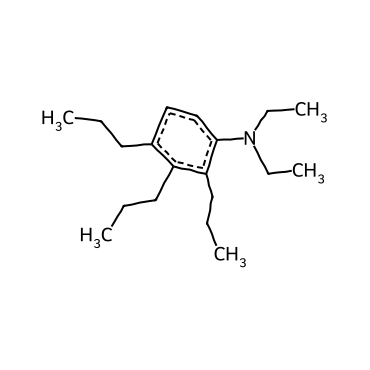 CCCc1ccc(N(CC)CC)c(CCC)c1CCC